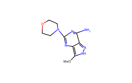 COc1[nH]nc2c(N)nc(N3CCOCC3)nc12